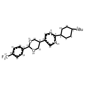 CCCCC1CCC(c2ncc(C3COC(c4ccc(C(F)(F)F)cc4)OC3)cn2)CC1